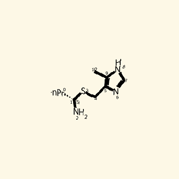 CC[CH][C@@H](N)SCc1nc[nH]c1C